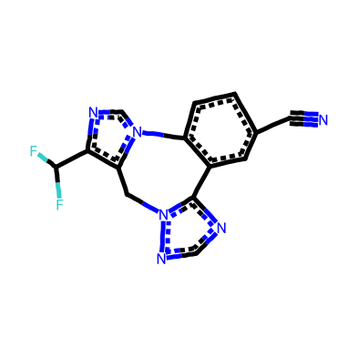 N#Cc1ccc2c(c1)-c1ncnn1Cc1c(C(F)F)ncn1-2